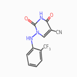 N#Cc1cn(Nc2ccccc2C(F)(F)F)c(=O)[nH]c1=O